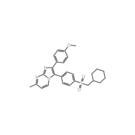 COc1ccc(-c2nc3nc(C)ccn3c2-c2ccc(S(=O)(=O)CC3CCCCC3)cc2)cc1